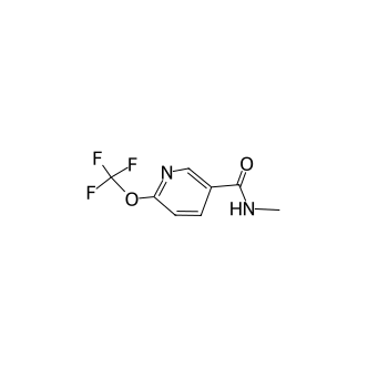 CNC(=O)c1ccc(OC(F)(F)F)nc1